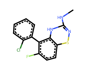 CNC1=NSc2ccc(F)c(-c3ccccc3Cl)c2N1